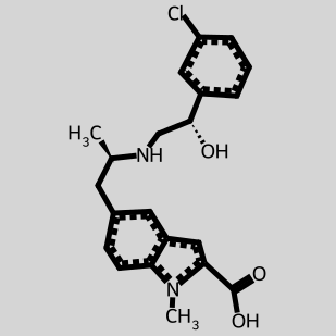 C[C@H](Cc1ccc2c(c1)cc(C(=O)O)n2C)NC[C@@H](O)c1cccc(Cl)c1